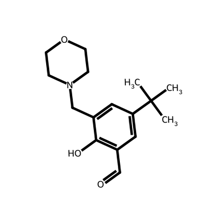 CC(C)(C)c1cc(C=O)c(O)c(CN2CCOCC2)c1